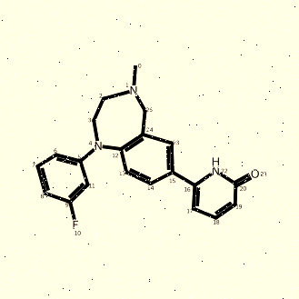 CN1CCN(c2cccc(F)c2)c2ccc(-c3cccc(=O)[nH]3)cc2C1